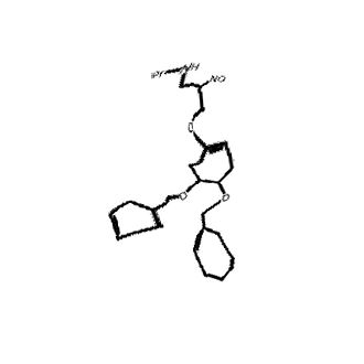 CC(C)NCC(COC1=CCC(OCC2=CCCCC2)C(OCC2CC=CCC2)C1)N=O